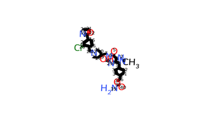 Cn1nc2c(=O)n(CC3(O)CCN(Cc4ccc(-c5ncco5)cc4Cl)CC3)cnc2c1-c1ccc(COC(N)=O)cc1